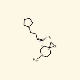 C/C(=C\CCN1CCCC1)[C@H]1CN(C)CC[C@]12CO2